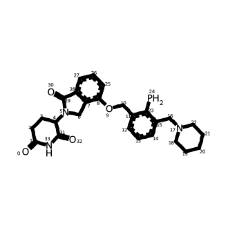 O=C1CCC(N2Cc3c(OCc4cccc(CN5CCCCC5)c4P)cccc3C2=O)C(=O)N1